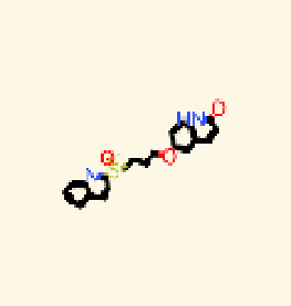 O=c1ccc2cc(OCCCC[S+]([O-])c3ccc4ccccc4n3)ccc2[nH]1